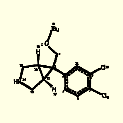 CCC(C)OCC1(c2ccc(Cl)c(Cl)c2)[C@@H]2CNC[C@@H]21